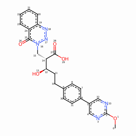 COc1ncc(-c2ccc(CC[C@@H](O)[C@H](Cn3nnc4ccccc4c3=O)C(=O)O)cc2)cn1